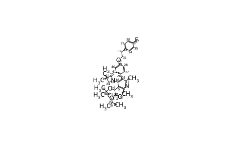 Cc1nc(C)c([C@H](OC(C)(C)C)C(=O)OC(C)C)c(N2CC(C)(C)C2)c1-c1ccc(OCCc2ccc(F)cc2)cc1